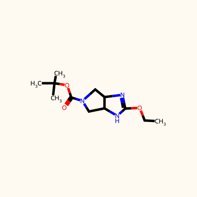 CCOC1=NC2CN(C(=O)OC(C)(C)C)CC2N1